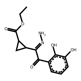 CCOC(=O)C1CC1C(=NN)C(=O)c1cccc(O)c1O